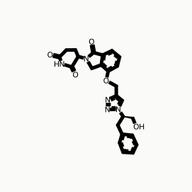 O=C1CCC(N2Cc3c(OCc4cn([C@@H](CO)Cc5ccccc5)nn4)cccc3C2=O)C(=O)N1